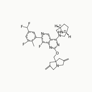 C=C1CN2CC(=C)CC2(COc2nc(N3C[C@H]4CC[C@@H](C3)N4)c3cnc(-c4cc(C(F)F)cc(F)c4C)c(F)c3n2)C1